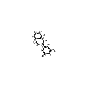 Cc1cc(C)cc(C(C=O)Cc2ccccc2)c1